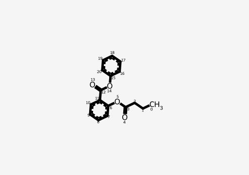 CCCC(=O)Oc1ccccc1C(=O)Oc1ccccc1